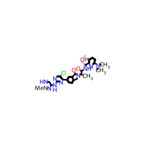 CN/N=C(\C=N)Nc1ncc(Cl)c(-c2ccc3c(c2)C(=O)N([C@H](C)C(=O)N[C@H](CO)c2nc(N(C)C)ccc2F)C3)n1